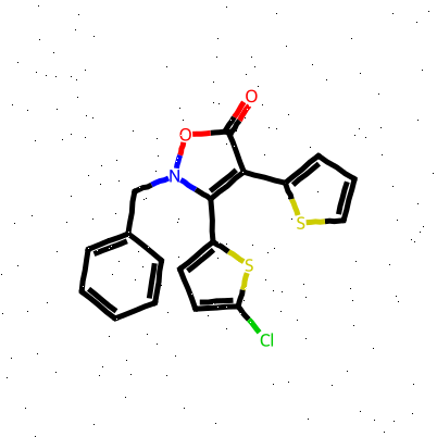 O=c1on(Cc2ccccc2)c(-c2ccc(Cl)s2)c1-c1cccs1